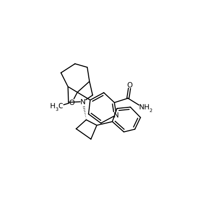 COC1(c2ccnc(C(N)=O)c2)C2CCCC1CN([C@H]1CCC1c1ccccc1)C2